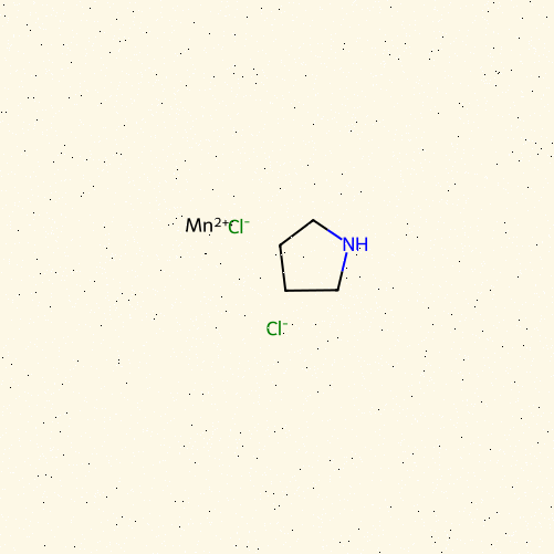 C1CCNC1.[Cl-].[Cl-].[Mn+2]